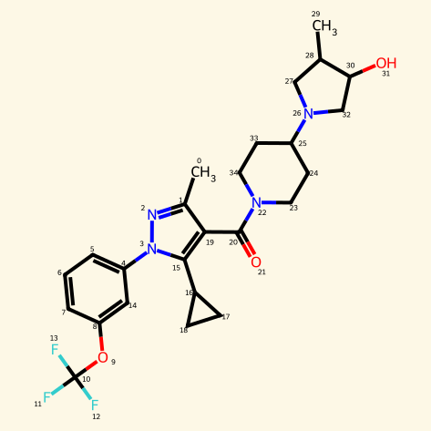 Cc1nn(-c2cccc(OC(F)(F)F)c2)c(C2CC2)c1C(=O)N1CCC(N2CC(C)C(O)C2)CC1